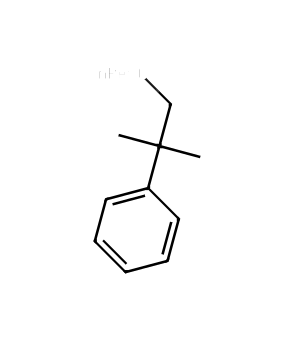 CCCCCCC(C)(C)c1[c]cccc1